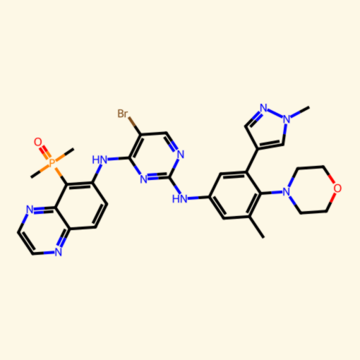 Cc1cc(Nc2ncc(Br)c(Nc3ccc4nccnc4c3P(C)(C)=O)n2)cc(-c2cnn(C)c2)c1N1CCOCC1